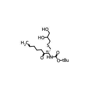 C=CCCCC(=O)[C@H](CSCC(O)CO)NC(=O)OC(C)(C)C